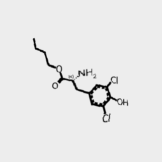 CCCCOC(=O)[C@H](N)Cc1cc(Cl)c(O)c(Cl)c1